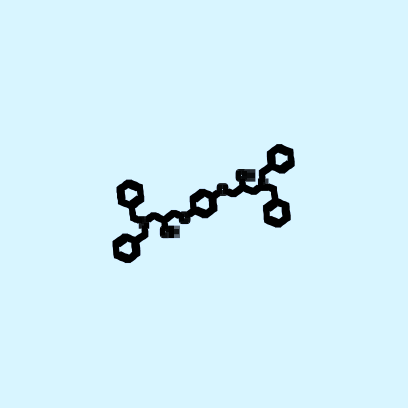 OC(COc1ccc(OCC(O)CN(Cc2ccccc2)Cc2ccccc2)cc1)CN(Cc1ccccc1)Cc1ccccc1